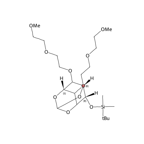 COCCOCCOC1C2OC3O[C@@H]1C(OCCOCCOC)[C@@H](O3)[C@@H]2O[Si](C)(C)C(C)(C)C